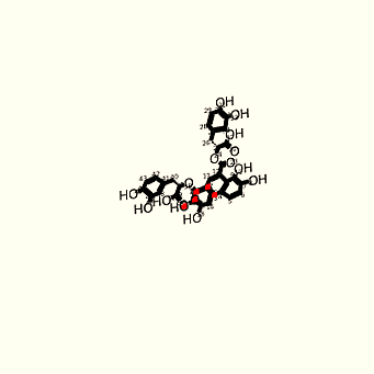 O=C(/C=C/c1ccc(O)c(O)c1/C(=C\c1ccc(O)c(O)c1)C(=O)O[C@H](Cc1ccc(O)c(O)c1)C(=O)O)O[C@H](Cc1ccc(O)c(O)c1)C(=O)O